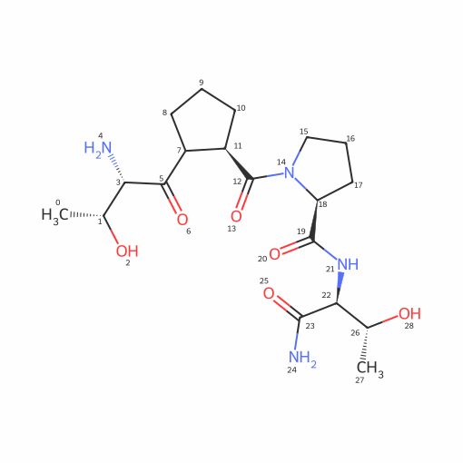 C[C@@H](O)[C@H](N)C(=O)C1CCC[C@H]1C(=O)N1CCC[C@H]1C(=O)N[C@H](C(N)=O)[C@@H](C)O